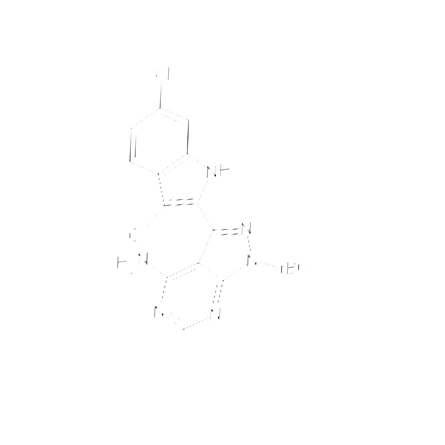 CC(C)(C)n1nc(-c2[nH]c3cc(Cl)ccc3c2Cl)c2c(N)ncnc21